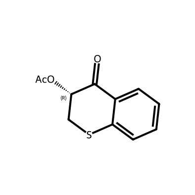 CC(=O)O[C@H]1CSc2ccccc2C1=O